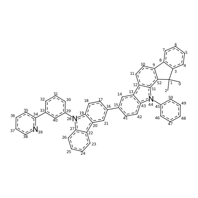 CC1(C)c2ccccc2-c2ccc3c4cc(-c5ccc6c(c5)c5ccccc5n6-c5cccc(-c6ccccn6)c5)ccc4n(-c4ccccc4)c3c21